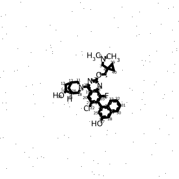 CN(C)CC1(COc2nc(N3CC4CC(O)[C@@H](C4)C3)c3cc(Cl)c(-c4cc(O)cc5ccccc45)c(F)c3n2)CC1